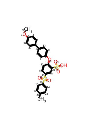 COc1ccc(-c2ccc(Oc3ccc(S(=O)(=O)c4ccc(C)cc4)cc3S(=O)(=O)O)cc2)cc1